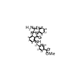 CC[C@H](N)c1nc2cccc(NCc3ccc(C(=O)OC)cn3)c2c(=O)n1-c1ccccc1